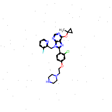 CC1(Oc2ncnc3c2nc(-c2ccc(OCCN4CCNCC4)cc2Cl)n3Cc2ncccc2F)CC1